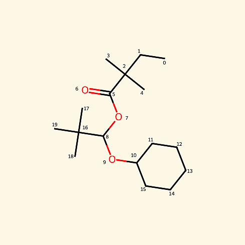 CCC(C)(C)C(=O)OC(OC1CCCCC1)C(C)(C)C